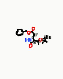 C[C@H](O[Si](C)(C)C(C)(C)C)[C@H]1C(=O)N[C@@H]1[C@@H](C)C(=O)OCc1ccccc1